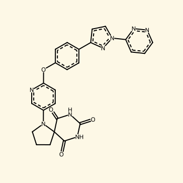 O=C1NC(=O)C2(CCCN2c2ccc(Oc3ccc(-c4ccn(-c5cccnn5)n4)cc3)nc2)C(=O)N1